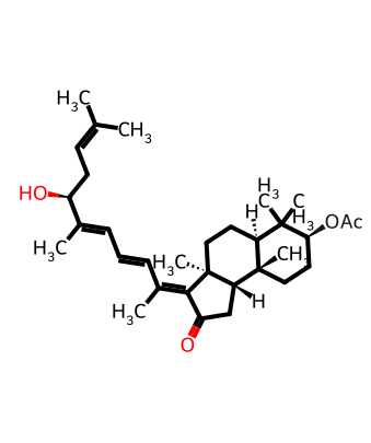 CC(=O)O[C@H]1CC[C@@]2(C)[C@@H](CC[C@]3(C)\C(=C(C)/C=C/C=C(\C)[C@@H](O)CC=C(C)C)C(=O)C[C@@H]23)C1(C)C